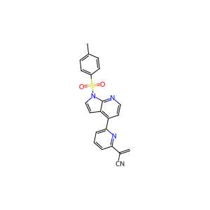 C=C(C#N)c1cccc(-c2ccnc3c2ccn3S(=O)(=O)c2ccc(C)cc2)n1